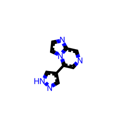 c1cn2c(-c3cn[nH]c3)cncc2n1